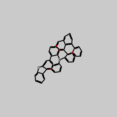 c1ccc(-c2cccc3cccc(-c4ccccc4N(c4ccccc4)c4ccccc4-c4ccc5c(c4)oc4ccccc45)c23)cc1